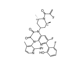 C=C(F)C(=O)N1[C@@H](C)CC(n2c(=O)c(=O)n(-c3c(C)ccnc3C(C)C)c3nc(-c4c(O)cccc4F)c(F)cc32)C[C@@H]1C